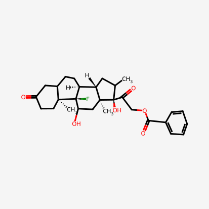 CC1C[C@H]2[C@@H]3CCC4CC(=O)CC[C@]4(C)[C@@]3(F)C(O)C[C@]2(C)[C@@]1(O)C(=O)COC(=O)c1ccccc1